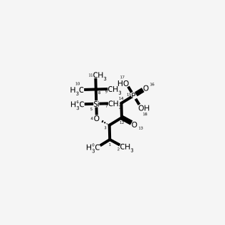 CC(C)[C@H](O[Si](C)(C)C(C)(C)C)C(=O)CP(=O)(O)O